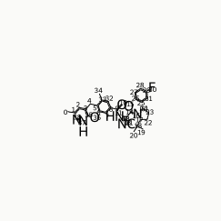 Cc1cc(Cc2ccc(C(=O)N[C@H](C)C(=O)N3C(C(C)(C)C#N)CC[C@H]3c3cccc(F)c3)cc2C)c(=O)[nH]n1